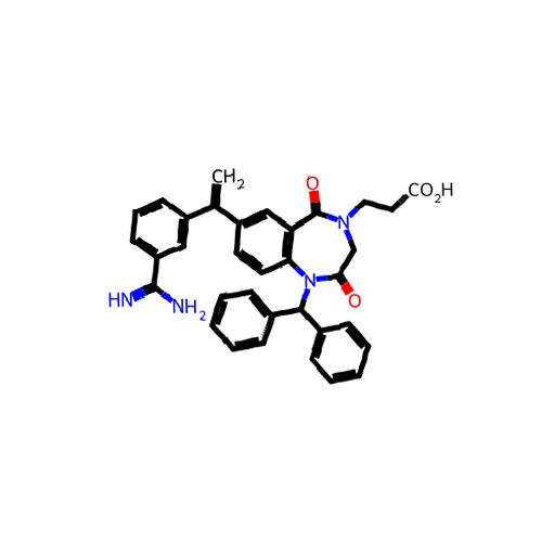 C=C(c1cccc(C(=N)N)c1)c1ccc2c(c1)C(=O)N(CCC(=O)O)CC(=O)N2C(c1ccccc1)c1ccccc1